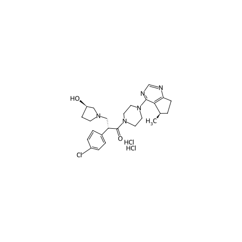 C[C@@H]1CCc2ncnc(N3CCN(C(=O)[C@@H](CN4CC[C@@H](O)C4)c4ccc(Cl)cc4)CC3)c21.Cl.Cl